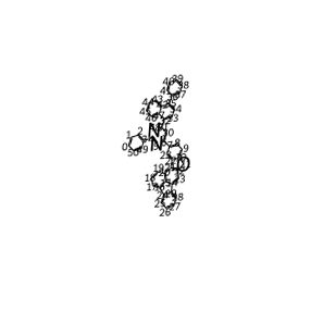 c1ccc(-c2nc(-c3ccc4oc5cc6c7c(cccc7c5c4c3)-c3ccccc3-6)cc(-c3ccc(-c4ccccc4)c4ccccc34)n2)cc1